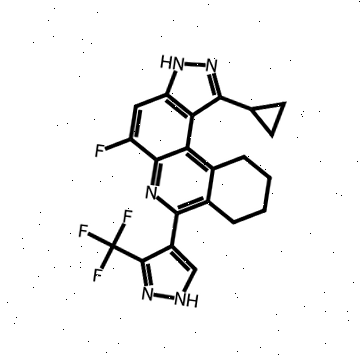 Fc1cc2[nH]nc(C3CC3)c2c2c3c(c(-c4c[nH]nc4C(F)(F)F)nc12)CCCC3